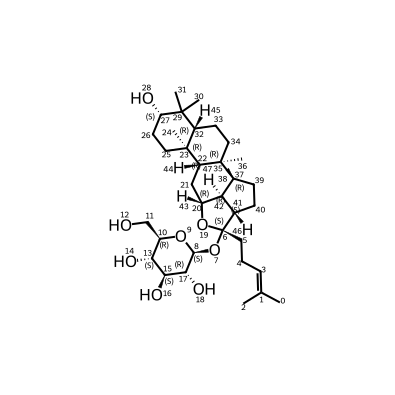 CC(C)=CCC[C@@]1(O[C@@H]2O[C@H](CO)[C@@H](O)[C@H](O)[C@H]2O)O[C@@H]2C[C@@H]3[C@@]4(C)CC[C@H](O)C(C)(C)[C@@H]4CC[C@@]3(C)[C@]3(C)CC[C@H]1[C@@H]23